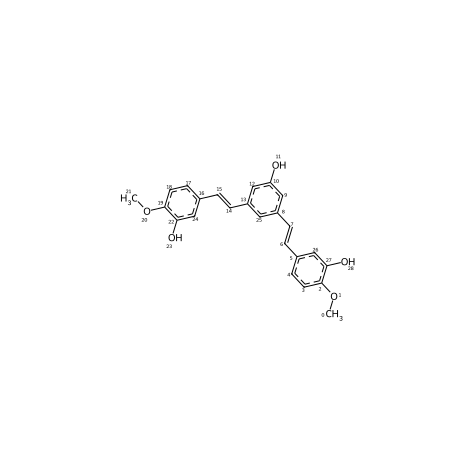 COc1ccc(/C=C/c2cc(O)cc(/C=C/c3ccc(OC)c(O)c3)c2)cc1O